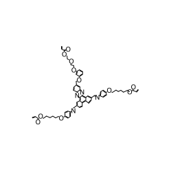 C=CC(=O)OCCCCCCOc1ccc(/N=C/c2ccc3c4ccc(/C=N/c5ccc(OCCCCCCOC(=O)C=C)cc5)cc4c4nc5cc(COc6cccc(OCCOCCOC(=O)C=C)c6)ccc5nc4c3c2)cc1